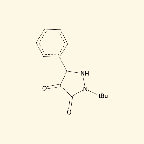 CC(C)(C)N1NC(c2ccccc2)C(=O)C1=O